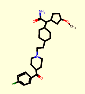 COC1CCC(C(C(N)=O)C2CCC(CCN3CCC(C(=O)c4ccc(F)cc4)CC3)CC2)C1